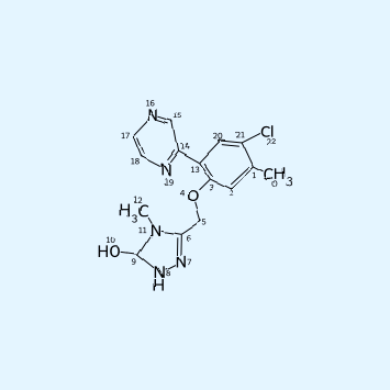 Cc1cc(OCC2=NNC(O)N2C)c(-c2cnccn2)cc1Cl